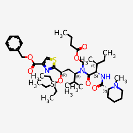 CCCC(=O)OCN(C(=O)[C@@H](NC(=O)[C@H]1CCCCN1C)[C@@H](C)CC)[C@H](C[C@@H](O[Si](CC)(CC)CC)c1nc(C(=O)OCc2ccccc2)cs1)C(C)C